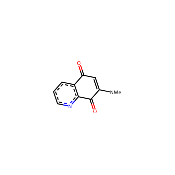 CNC1=CC(=O)c2cccnc2C1=O